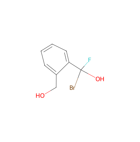 OCc1ccccc1C(O)(F)Br